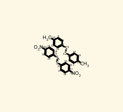 Cc1ccc(SSc2ccc(C)cc2)cc1.O=[N+]([O-])c1ccc(SSc2ccc([N+](=O)[O-])cc2)cc1